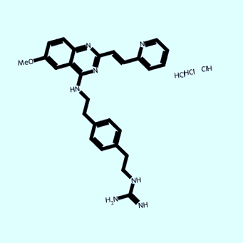 COc1ccc2nc(C=Cc3ccccn3)nc(NCCc3ccc(CCNC(=N)N)cc3)c2c1.Cl.Cl.Cl